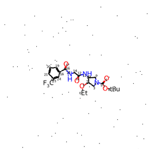 CCOC1CN(C(=O)OC(C)(C)C)C[C@@H]1NC(=O)CNC(=O)c1cccc(C(F)(F)F)c1